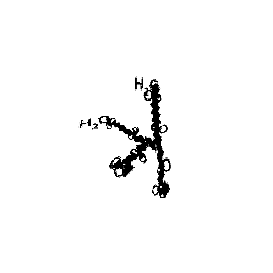 C=CC(=O)OCCCCCCOC(=O)CCN(CCC(=O)OCCN1CCOC1=O)CCN(CCC(=O)OCCCCCCOC(=O)C=C)CCC(=O)OCCN1CCOC1=O